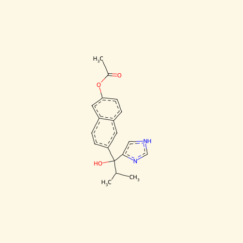 CC(=O)Oc1ccc2cc(C(O)(c3c[nH]cn3)C(C)C)ccc2c1